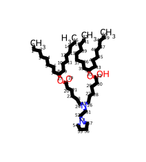 CCCCCCCCC(CCCCCCCC)OC(=O)CCCCCN(CCCCCC(O)OC(CCCCCCCC)CCCCCCCC)CCN1CCCC1